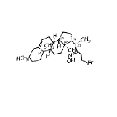 CC(C)CCC(=NO)[C@@H](C)[C@H]1CC[C@H]2[C@@H]3CC=C4C[C@@H](O)CC[C@]4(C)[C@H]3CC[C@]12C